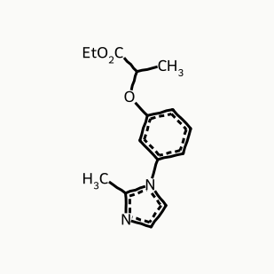 CCOC(=O)C(C)Oc1cccc(-n2ccnc2C)c1